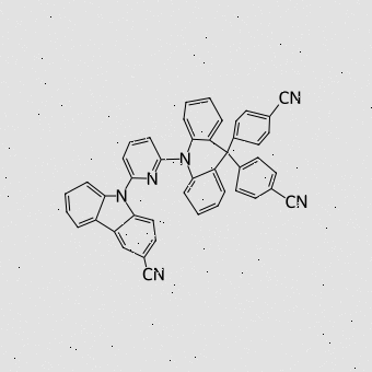 N#Cc1ccc(C2(c3ccc(C#N)cc3)c3ccccc3N(c3cccc(-n4c5ccccc5c5cc(C#N)ccc54)n3)c3ccccc32)cc1